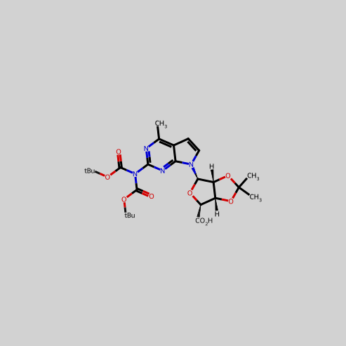 Cc1nc(N(C(=O)OC(C)(C)C)C(=O)OC(C)(C)C)nc2c1ccn2[C@@H]1O[C@H](C(=O)O)[C@H]2OC(C)(C)O[C@H]21